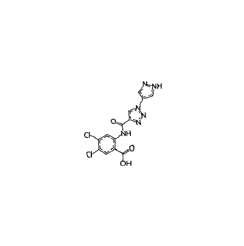 O=C(Nc1cc(Cl)c(Cl)cc1C(=O)O)c1cn(-c2cn[nH]c2)nn1